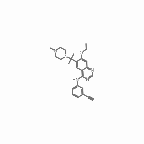 C#Cc1cccc(Nc2ncnc3cc(OCC)c(C(C)(C)N4CCN(C)CC4)cc23)c1